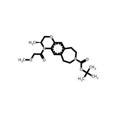 COCC(=O)N1c2cc3c(cc2OC[C@@H]1C)CCN(C(=O)OC(C)(C)C)CC3